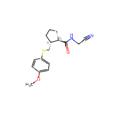 COc1ccc(SC[C@@H]2CCC[C@H]2C(=O)NCC#N)cc1